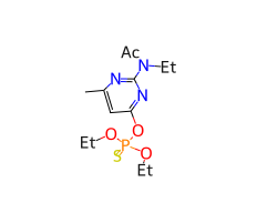 CCOP(=S)(OCC)Oc1cc(C)nc(N(CC)C(C)=O)n1